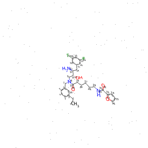 CCc1cccc(CN(C[C@@H](O)[C@@H](N)Cc2cc(F)cc(F)c2)C(=O)CCCCCNC(=O)c2ccco2)c1